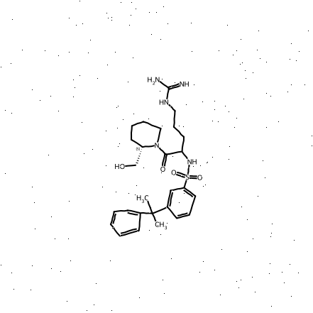 CC(C)(c1ccccc1)c1cccc(S(=O)(=O)NC(CCCNC(=N)N)C(=O)N2CCCC[C@H]2CO)c1